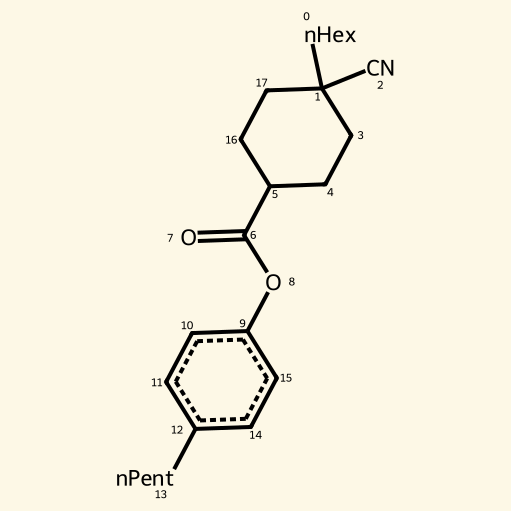 CCCCCCC1(C#N)CCC(C(=O)Oc2ccc(CCCCC)cc2)CC1